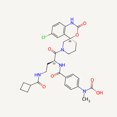 CN(C(=O)O)c1ccc(C(=O)N[C@@H](CCNC(=O)C2CCC2)C(=O)N2CCC[C@@]3(C2)OC(=O)Nc2ccc(Cl)cc23)cc1